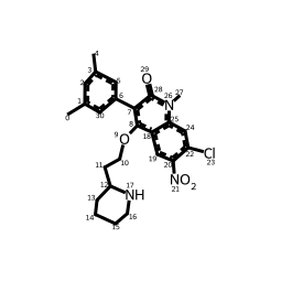 Cc1cc(C)cc(-c2c(OCCC3CCCCN3)c3cc([N+](=O)[O-])c(Cl)cc3n(C)c2=O)c1